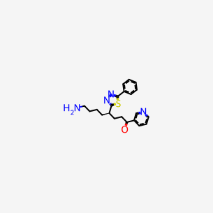 NCCCC[C@H](CCC(=O)c1cccnc1)c1nnc(-c2ccccc2)s1